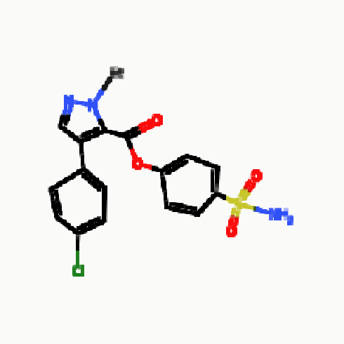 CCn1ncc(-c2ccc(Cl)cc2)c1C(=O)Oc1ccc(S(N)(=O)=O)cc1